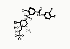 CCC1C[C@@H](S(=O)(=O)c2cc(C(=O)Nc3ccc(F)c(F)c3)ccc2Cl)C[C@H](C)[C@@]1(O)CNS(C)(=O)=O